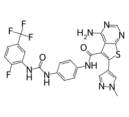 Cn1cc(-c2sc3ncnc(N)c3c2C(=O)Nc2ccc(NC(=O)Nc3cc(C(F)(F)F)ccc3F)cc2)cn1